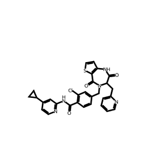 O=C(Nc1cc(C2CC2)ccn1)c1ccc(CN2C(=O)c3sccc3NC(=O)C2Cc2ccccn2)cc1Cl